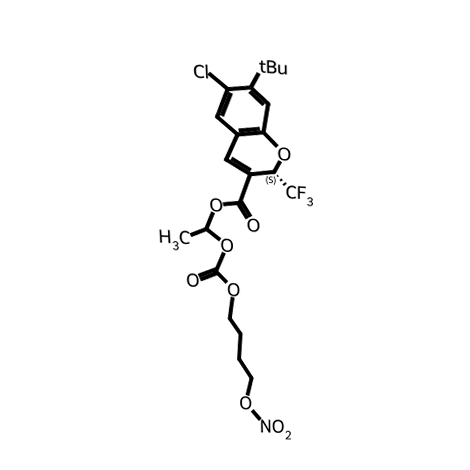 CC(OC(=O)OCCCCO[N+](=O)[O-])OC(=O)C1=Cc2cc(Cl)c(C(C)(C)C)cc2O[C@@H]1C(F)(F)F